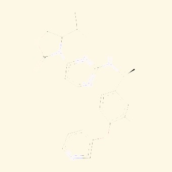 CC(C)C1COC(=O)N1c1ccnc(N[C@@H](C)c2ccc(Oc3cccnc3)c(F)c2)n1